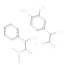 CCC(N)C(O)c1ccc(O)c(O)c1.CCN(C)C(C)C(O)c1ccccc1